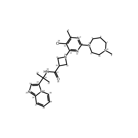 Cc1nc(N2CCCN(C)CC2)nc(N2CC(C(=O)NC(C)(C)c3cnc4ccccn34)C2)c1Cl